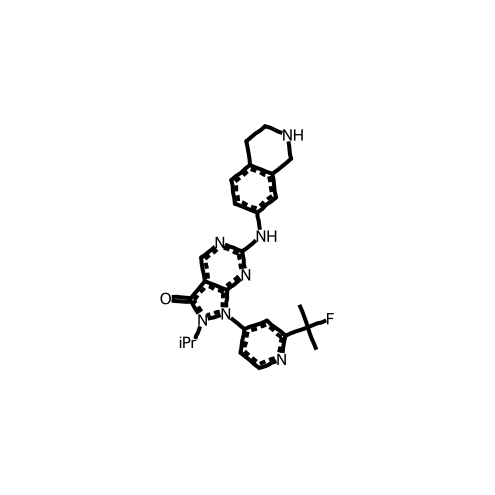 CC(C)n1c(=O)c2cnc(Nc3ccc4c(c3)CNCC4)nc2n1-c1ccnc(C(C)(C)F)c1